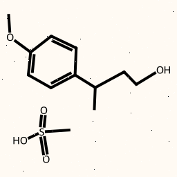 COc1ccc(C(C)CCO)cc1.CS(=O)(=O)O